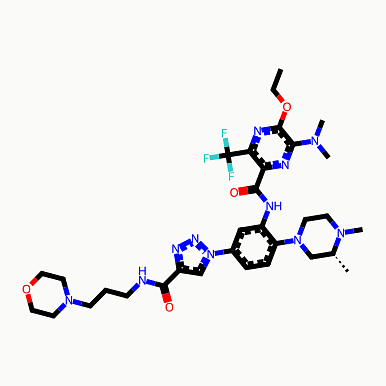 CCOc1nc(C(F)(F)F)c(C(=O)Nc2cc(-n3cc(C(=O)NCCCN4CCOCC4)nn3)ccc2N2CCN(C)[C@H](C)C2)nc1N(C)C